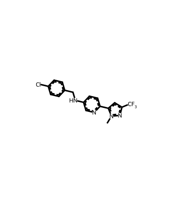 Cn1nc(C(F)(F)F)cc1-c1ccc(NCc2ccc(Cl)cc2)cn1